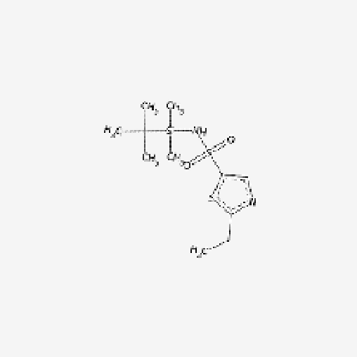 CCc1ncc(S(=O)(=O)N[Si](C)(C)C(C)(C)C)s1